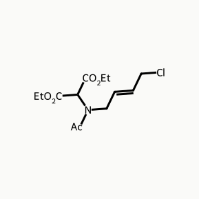 CCOC(=O)C(C(=O)OCC)N(C/C=C/CCl)C(C)=O